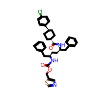 O=C(N[C@H](CC[C@H](Cc1ccccc1)NC(=O)[C@H]1CC[C@H](c2ccc(Cl)cc2)CC1)Cc1ccccc1)OCc1cncs1